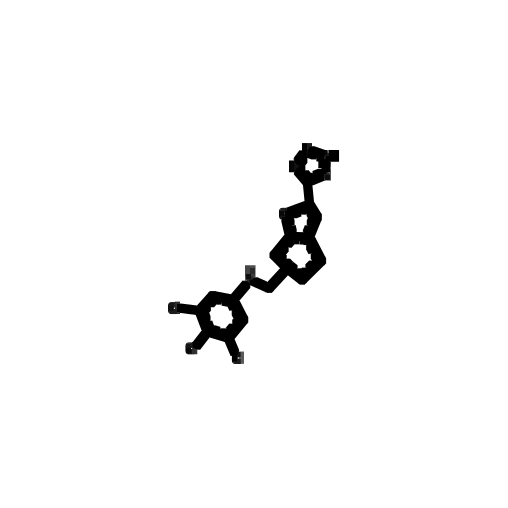 Clc1cc(NCc2ccc3cc(-c4nn[nH]n4)oc3c2)cc(Cl)c1Cl